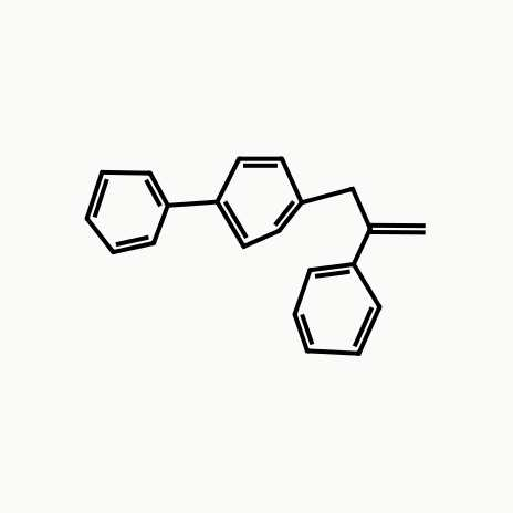 C=C(Cc1ccc(-c2ccccc2)cc1)c1ccccc1